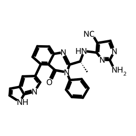 C[C@@H](Nc1nc(N)ncc1C#N)c1nc2cccc(-c3cnc4[nH]ccc4c3)c2c(=O)n1-c1ccccc1